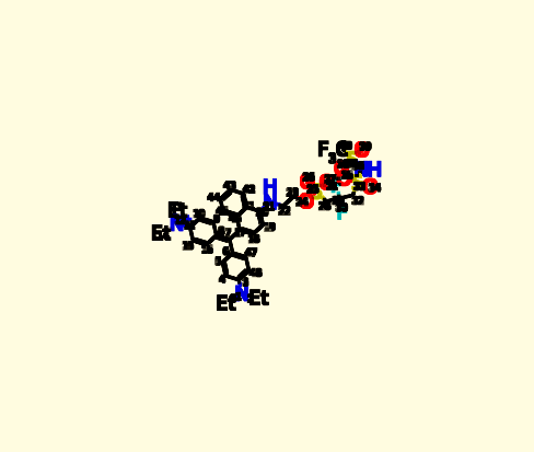 CCN(CC)c1ccc(C(=C2C=CC(=[N+](CC)CC)C=C2)c2ccc(NCCOS(=O)(=O)CC(F)(F)CS(=O)(=O)NS(=O)(=O)C(F)(F)F)c3ccccc23)cc1